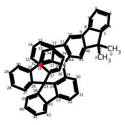 CC1(C)c2ccccc2-c2cc3c4ccccc4n(-c4cccc5c4C4(c6ccccc6-c6ccccc64)c4ccccc4-5)c3cc21